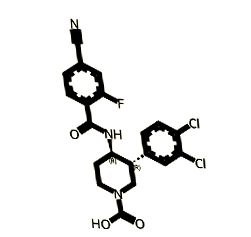 N#Cc1ccc(C(=O)N[C@@H]2CCN(C(=O)O)C[C@H]2c2ccc(Cl)c(Cl)c2)c(F)c1